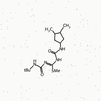 CSC(=NC(=O)NC(C)(C)C)NC(=O)NC1CC(C)C(C)C1